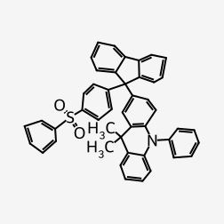 CC1(C)c2ccccc2N(c2ccccc2)c2ccc(C3(c4ccc(S(=O)(=O)c5ccccc5)cc4)c4ccccc4-c4ccccc43)cc21